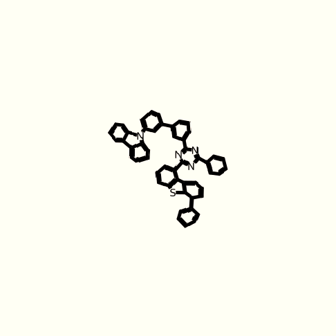 C1=CC(c2ccccc2)C2Sc3cccc(-c4nc(-c5ccccc5)nc(-c5cccc(-c6cccc(-n7c8ccccc8c8ccccc87)c6)c5)n4)c3C2=C1